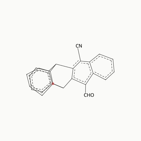 N#Cc1c2c(c(C=O)c3ccccc13)C1c3ccccc3C2c2ccccc21